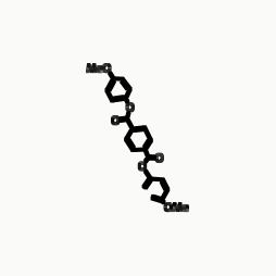 C=C(/C=C\C(=C)OC(=O)c1ccc(C(=O)Oc2ccc(OC)cc2)cc1)OC